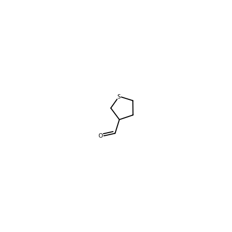 O=CC1CCSC1